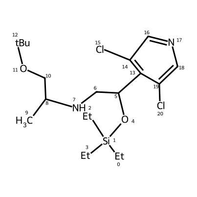 CC[Si](CC)(CC)OC(CNC(C)COC(C)(C)C)c1c(Cl)cncc1Cl